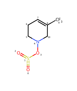 O=[SH](=O)ON1CCC=C(C(F)(F)F)C1